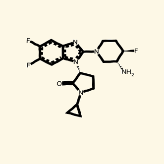 N[C@@H]1CN(c2nc3cc(F)c(F)cc3n2[C@@H]2CCN(C3CC3)C2=O)CC[C@H]1F